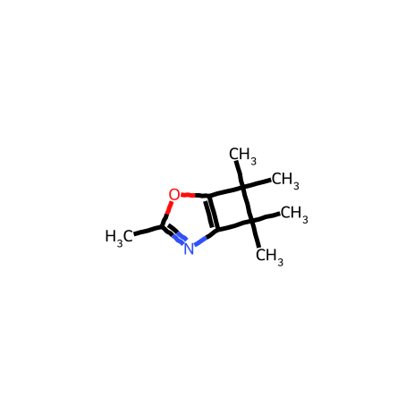 Cc1nc2c(o1)C(C)(C)C2(C)C